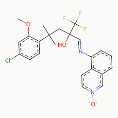 COc1cc(Cl)ccc1C(C)(C)CC(O)(C=Nc1cccc2c[n+]([O-])ccc12)C(F)(F)F